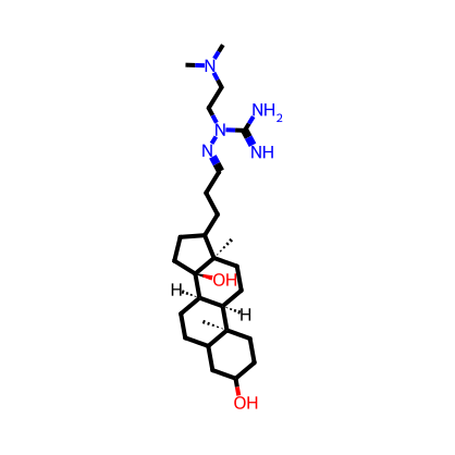 CN(C)CCN(/N=C/CCC1CC[C@@]2(O)[C@@H]3CCC4CC(O)CC[C@]4(C)[C@@H]3CC[C@]12C)C(=N)N